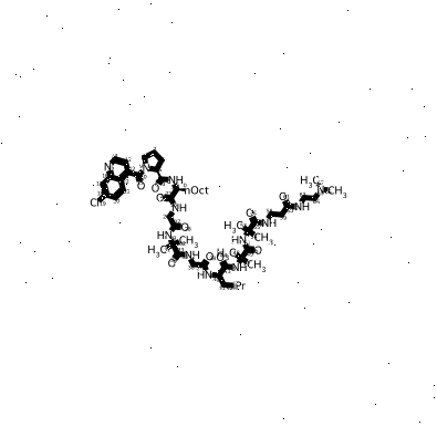 CCCCCCCC[C@H](NC(=O)[C@@H]1CCCN1C(=O)c1ccnc2cc(Cl)ccc12)C(=O)NCC(=O)NC(C)(C)C(=O)NCC(=O)NC(CC(C)C)C(=O)NC(C)(C)C(=O)NC(C)(C)C(=O)NCCC(=O)NCCN(C)C